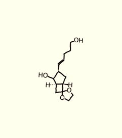 OCCCC=C[C@H]1C[C@H]2[C@@H](CC23OCCO3)C1O